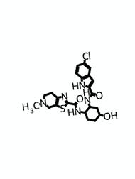 CN1CCc2nc(C(=O)NC3CCC(O)CC3NC(=O)c3cc4cc(Cl)ccc4[nH]3)sc2C1